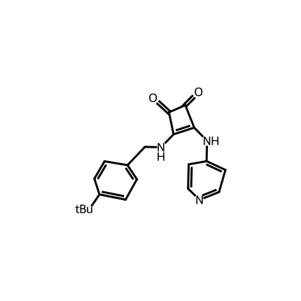 CC(C)(C)c1ccc(CNc2c(Nc3ccncc3)c(=O)c2=O)cc1